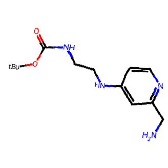 CC(C)(C)OC(=O)NCCNc1ccnc(CN)c1